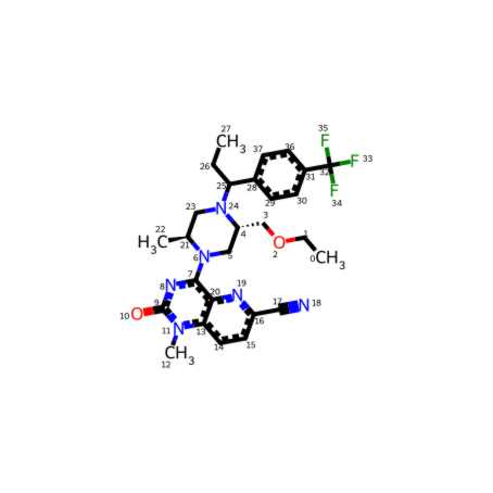 CCOC[C@@H]1CN(c2nc(=O)n(C)c3ccc(C#N)nc23)[C@@H](C)CN1C(CC)c1ccc(C(F)(F)F)cc1